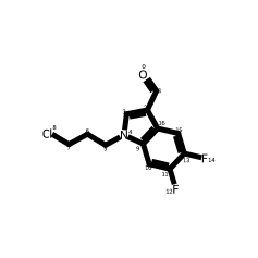 O=Cc1cn(CCCCl)c2cc(F)c(F)cc12